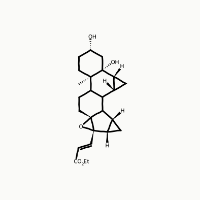 CCOC(=O)C=C[C@@]12O[C@@]13CCC1C(C3[C@@H]3C[C@@H]32)[C@H]2C[C@H]2[C@]2(O)C[C@@H](O)CC[C@]12C